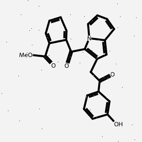 COC(=O)c1ccccc1C(=O)c1c(CC(=O)c2cccc(O)c2)cc2ccccn12